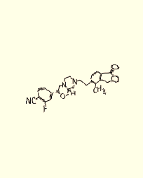 Cc1c(CCN2CCN3C[C@@H](c4ccc(C#N)c(F)c4)OC[C@H]3C2)ccc2c1COC2=O